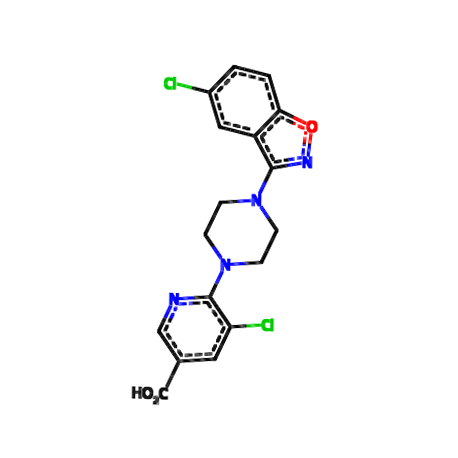 O=C(O)c1cnc(N2CCN(c3noc4ccc(Cl)cc34)CC2)c(Cl)c1